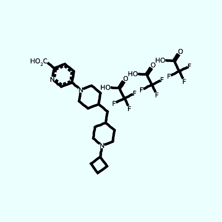 O=C(O)C(F)(F)F.O=C(O)C(F)(F)F.O=C(O)C(F)(F)F.O=C(O)c1ccc(N2CCC(CC3CCN(C4CCC4)CC3)CC2)cn1